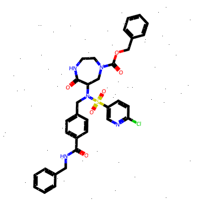 O=C(NCc1ccccc1)c1ccc(CN(C2CN(C(=O)OCc3ccccc3)CCNC2=O)S(=O)(=O)c2ccc(Cl)nc2)cc1